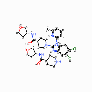 O=C(NC1CCOC1)C1CCNCC1.O=C(N[C@@H]1CCOC1)C1CCN(c2nc3cc(Cl)c(Cl)cc3n2-c2cccc(C(F)(F)F)n2)CC1